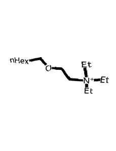 CCCCCCCOCC[N+](CC)(CC)CC